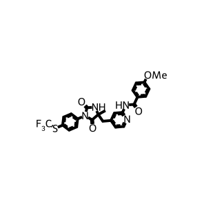 COc1ccc(C(=O)Nc2cc(CC3(C)NC(=O)N(c4ccc(SC(F)(F)F)cc4)C3=O)ccn2)cc1